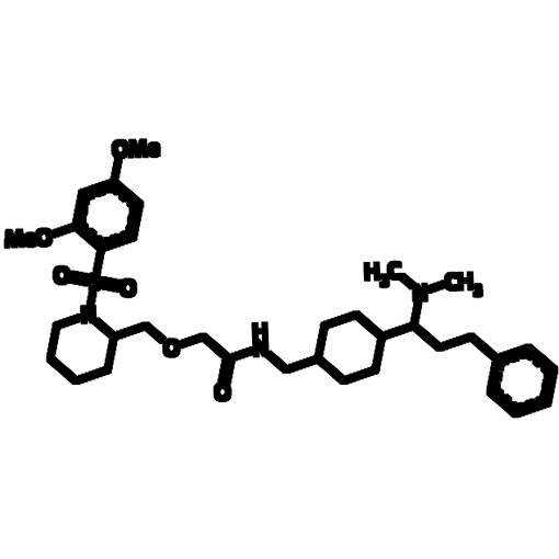 COc1ccc(S(=O)(=O)N2CCCCC2COCC(=O)NCC2CCC(C(CCc3ccccc3)N(C)C)CC2)c(OC)c1